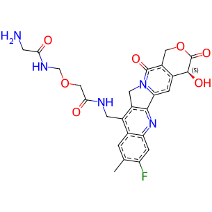 Cc1cc2c(CNC(=O)COCNC(=O)CN)c3c(nc2cc1F)-c1cc2c(c(=O)n1C3)COC(=O)[C@H]2O